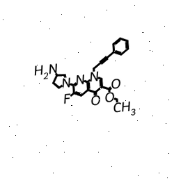 CCOC(=O)c1cn(CC#Cc2ccccc2)c2nc(N3CCC(N)C3)c(F)cc2c1=O